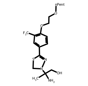 CCCCCOCCOc1ccc(C2=NN(C(C)(N)CO)CS2)cc1C(F)(F)F